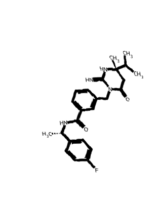 CC(C)[C@]1(C)CC(=O)N(Cc2cccc(C(=O)N[C@@H](C)c3ccc(F)cc3)c2)C(=N)N1